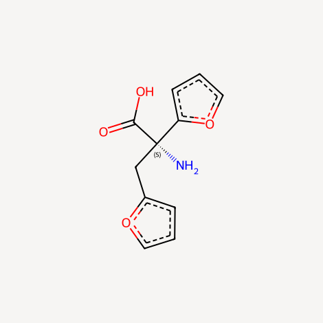 N[C@](Cc1ccco1)(C(=O)O)c1ccco1